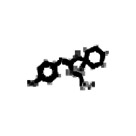 CC1(NC(=Nc2ccc(C#N)cc2)NCC(=O)O)CCCCC1